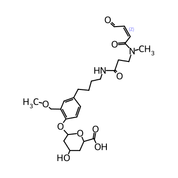 COCc1cc(CCCCNC(=O)CCN(C)C(=O)/C=C\C=O)ccc1OC1CC(O)CC(C(=O)O)O1